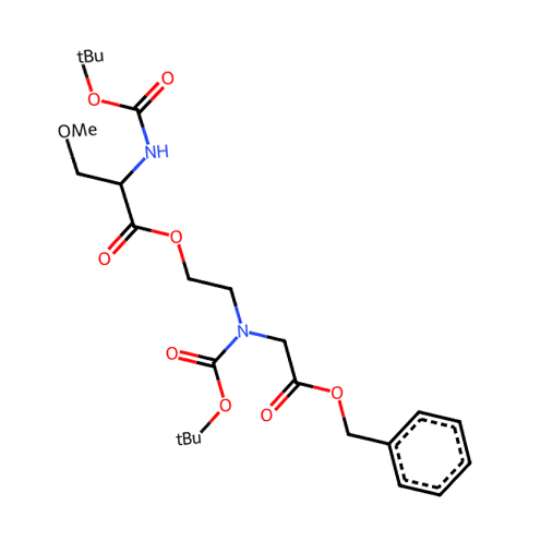 COCC(NC(=O)OC(C)(C)C)C(=O)OCCN(CC(=O)OCc1ccccc1)C(=O)OC(C)(C)C